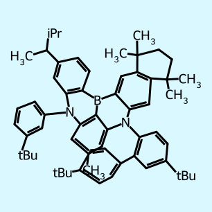 Cc1cc2c3c(c1)N(c1ccc(C(C)(C)C)cc1-c1ccc(C(C)(C)C)cc1)c1cc4c(cc1B3c1ccc(C(C)C(C)C)cc1N2c1cccc(C(C)(C)C)c1)C(C)(C)CCC4(C)C